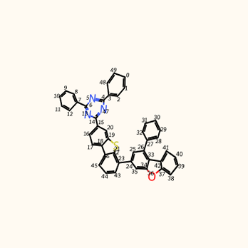 c1ccc(-c2nc(-c3ccccc3)nc(-c3ccc4c(c3)sc3c(-c5cc(-c6ccccc6)c6c(c5)oc5ccccc56)cccc34)n2)cc1